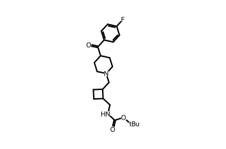 CC(C)(C)OC(=O)NCC1CCC1CN1CCC(C(=O)c2ccc(F)cc2)CC1